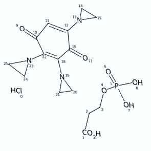 Cl.O=C(O)CCOP(=O)(O)O.O=C1C=C(N2CC2)C(=O)C(N2CC2)=C1N1CC1